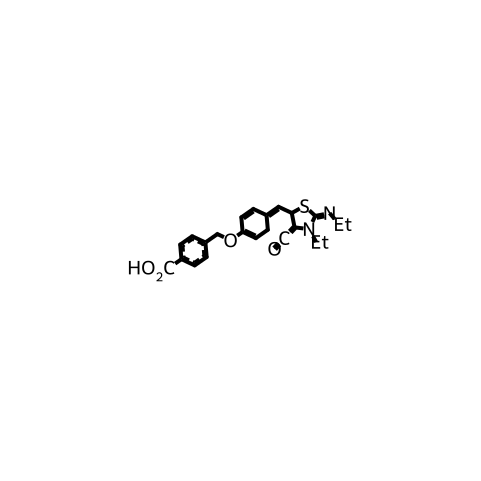 CCN=C1SC(C=C2C=CC(OCc3ccc(C(=O)O)cc3)=CC2)C(=C=O)N1CC